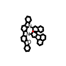 c1ccc2cc(-n3c4ccccc4c4ccc5c6ccc7c8ccccc8oc7c6n(-c6ccc7c(c6)-c6cccc8cccc-7c68)c5c43)ccc2c1